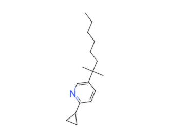 CCCCCCC(C)(C)c1ccc(C2CC2)nc1